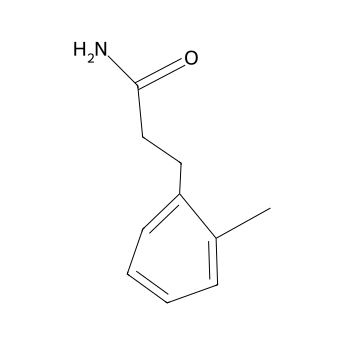 Cc1ccccc1CCC(N)=O